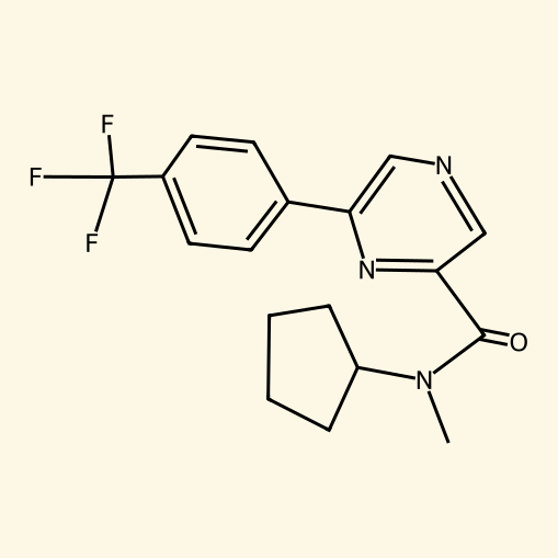 CN(C(=O)c1cncc(-c2ccc(C(F)(F)F)cc2)n1)C1CCCC1